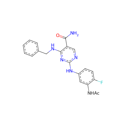 CC(=O)Nc1cc(Nc2ncc(C(N)=O)c(NCc3ccccc3)n2)ccc1F